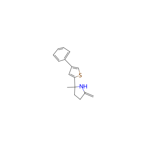 C=C1CCC(C)(c2cc(-c3ccccc3)cs2)N1